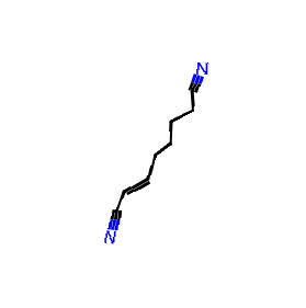 N#CC=CCCCCC#N